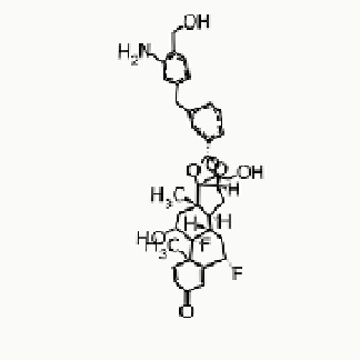 C[C@]12C=CC(=O)C=C1[C@@H](F)C[C@H]1[C@@H]3C[C@H]4O[C@@H](c5cccc(Cc6ccc(CO)c(N)c6)c5)O[C@@]4(C(=O)CO)[C@@]3(C)C[C@H](O)[C@@]12F